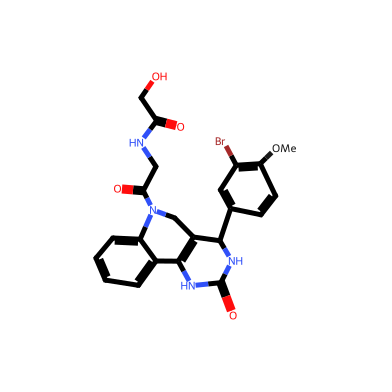 COc1ccc(C2NC(=O)NC3=C2CN(C(=O)CNC(=O)CO)c2ccccc23)cc1Br